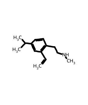 C=Cc1cc(C(C)C)ccc1CCNC